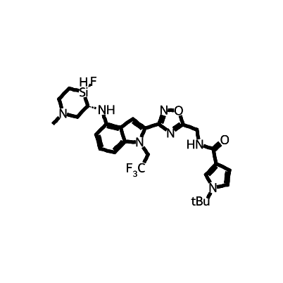 CN1CC[Si@H](F)[C@H](Nc2cccc3c2cc(-c2noc(CNC(=O)c4ccn(C(C)(C)C)c4)n2)n3CC(F)(F)F)C1